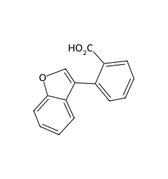 O=C(O)c1ccccc1-c1coc2ccccc12